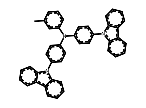 Cc1cccc(N(c2ccc(-n3c4ccccc4c4ccccc43)cc2)c2ccc(-n3c4ccccc4c4ccccc43)cc2)c1